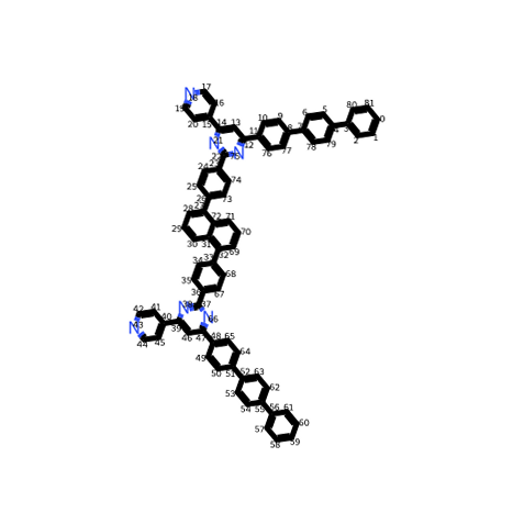 c1ccc(-c2ccc(-c3ccc(-c4cc(-c5ccncc5)nc(-c5ccc(-c6cccc7c(-c8ccc(-c9nc(-c%10ccncc%10)cc(-c%10ccc(-c%11ccc(-c%12ccccc%12)cc%11)cc%10)n9)cc8)cccc67)cc5)n4)cc3)cc2)cc1